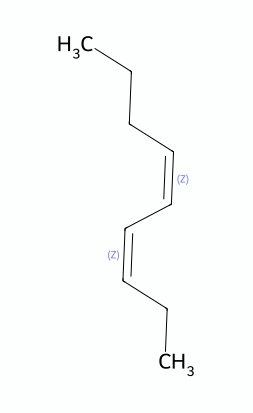 CC/C=C\C=C/CCC